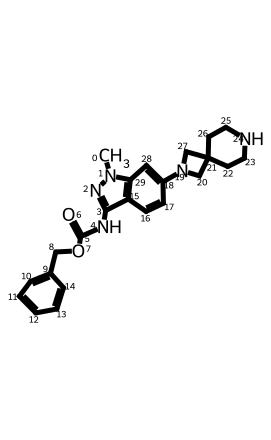 Cn1nc(NC(=O)OCc2ccccc2)c2ccc(N3CC4(CCNCC4)C3)cc21